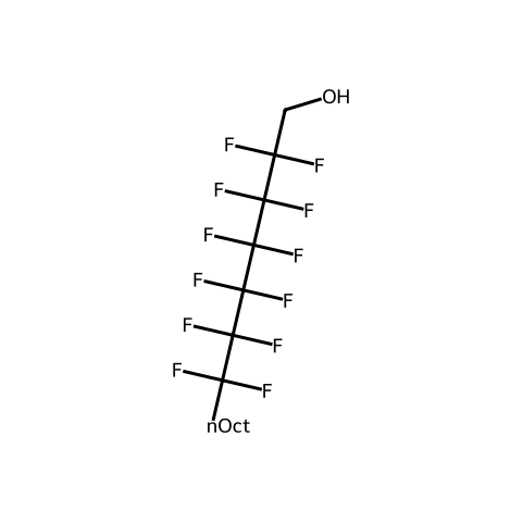 CCCCCCCCC(F)(F)C(F)(F)C(F)(F)C(F)(F)C(F)(F)C(F)(F)CO